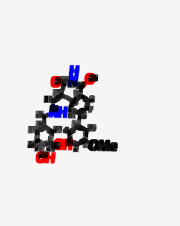 COc1cccc(-c2ccc3c(c2)/C(=C\NCc2ccc(O)c(O)c2)C(=O)NC3=O)c1